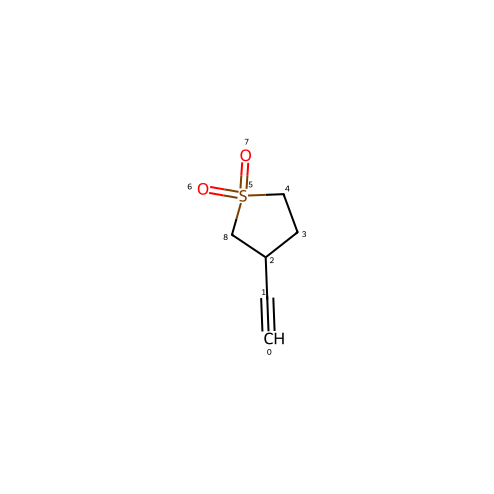 C#CC1CCS(=O)(=O)C1